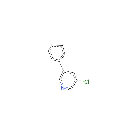 Clc1[c]ncc(-c2ccccc2)c1